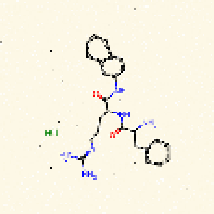 Cl.NC(N)=NCCCC(NC(=O)C(N)Cc1ccccc1)C(=O)Nc1ccc2ccccc2c1